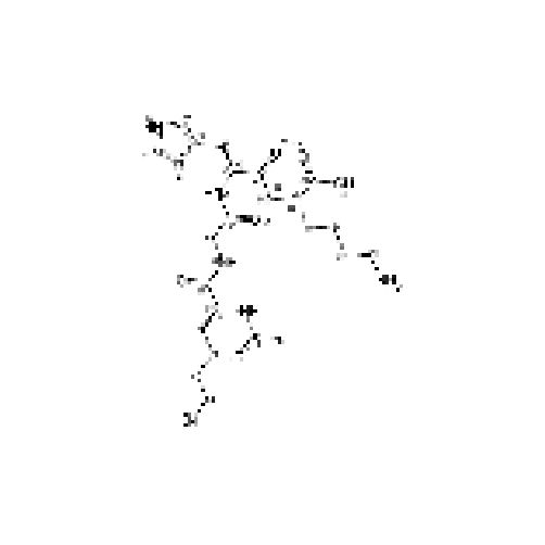 CC(=O)N[C@@H](CCCCN)C(=O)NCC(=O)N[C@@H](Cc1c[nH]cn1)C(=O)N[C@@H](CCCCN)C(=O)O